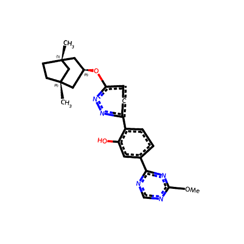 COc1ncnc(-c2ccc(-c3ccc(O[C@H]4C[C@]5(C)CC[C@](C)(C4)C5)nn3)c(O)c2)n1